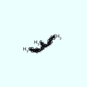 C=CC(=O)Oc1ccc(S(=O)(=O)c2ccc(Cc3ccc(N(c4ccc(C)cc4)c4ccc(Cc5ccc(S(=O)(=O)c6ccc(OC(=O)CC)cc6)cc5)cc4)cc3)cc2)cc1